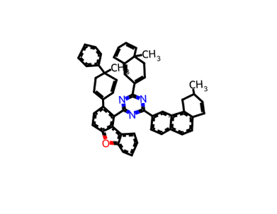 CC1C=Cc2ccc3ccc(-c4nc(C5=CCC6(C)C=CC=CC6=C5)nc(-c5c(C6=CCC(C)(c7ccccc7)C=C6)ccc6oc7ccccc7c56)n4)cc3c2C1